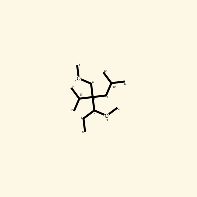 CCC(OC)C(COC)(CC(C)C)C(C)C